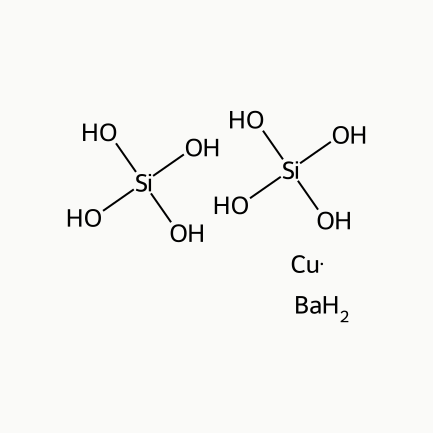 O[Si](O)(O)O.O[Si](O)(O)O.[BaH2].[Cu]